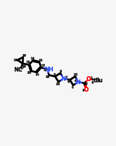 CC(C)(C)OC(=O)N1CC(N2CC(CNc3ccc(C4(C#N)CC4)cc3)C2)C1